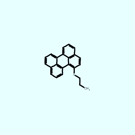 CCCSc1ccc2cccc3c4cccc5cccc(c1c23)c54